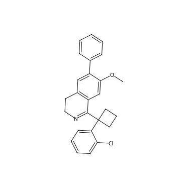 COc1cc2c(cc1-c1ccccc1)CCN=C2C1(c2ccccc2Cl)CCC1